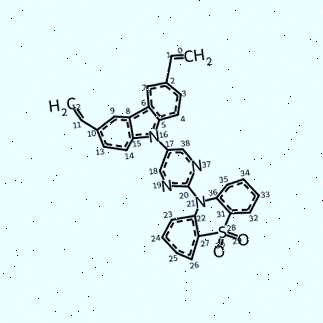 C=Cc1ccc2c(c1)c1cc(C=C)ccc1n2-c1cnc(N2c3ccccc3S(=O)(=O)c3ccccc32)nc1